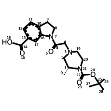 C[C@@H]1CN(CC(=O)N2CCc3ccc(C(=O)O)cc32)CCN1C(=O)OC(C)(C)C